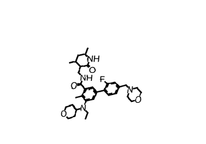 CCN(c1cc(-c2ccc(CN3CCOCC3)cc2F)cc(C(=O)NCC2C(=O)NC(C)CC2C)c1C)C1CCOCC1